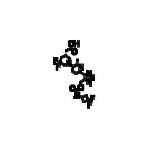 Cc1nc(-c2nnn(C)c2COC(=O)N(C)C2CC(F)(F)C2)ccc1N1C[C@@H](CC(=O)O)CC(F)(F)C1